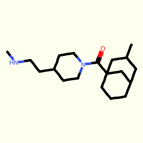 CNCCC1CCN(C(=O)C23CCCC(CC(C)C2)C3)CC1